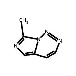 Cc1ncc2ccnnn12